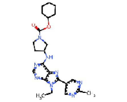 CCn1c(-c2cnc(C)nc2)nc2c(NC3CCN(C(=O)OC4CCCCC4)C3)ncnc21